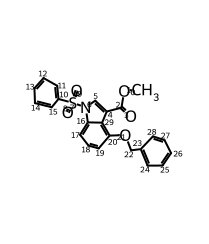 COC(=O)c1cn(S(=O)(=O)c2ccccc2)c2cccc(OCc3ccccc3)c12